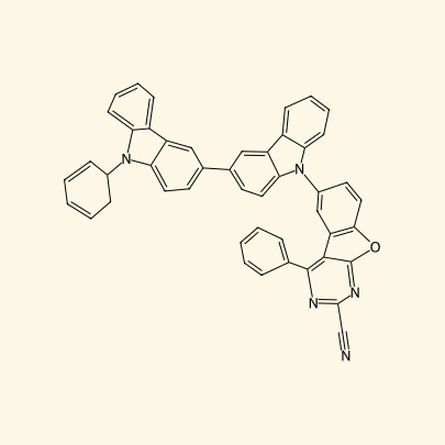 N#Cc1nc(-c2ccccc2)c2c(n1)oc1ccc(-n3c4ccccc4c4cc(-c5ccc6c(c5)c5ccccc5n6C5C=CC=CC5)ccc43)cc12